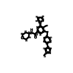 Cc1c(Cc2ccc(-c3cnn(C)c3)nc2)cc(C(=O)NC2CCOCC2)nc1-n1cccn1